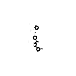 Cc1cccc(NC(=O)Nc2ccc(-c3csc4c(-c5cccc(C(N)=O)c5)cnc(N)c34)cc2)c1